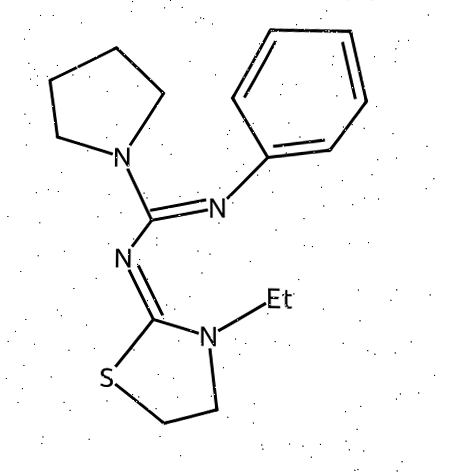 CCN1CCS/C1=N/C(=N/c1ccccc1)N1CCCC1